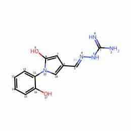 N=C(N)N/N=C/c1cc(O)n(-c2ccccc2O)c1